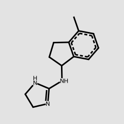 Cc1cccc2c1CCC2NC1=NCCN1